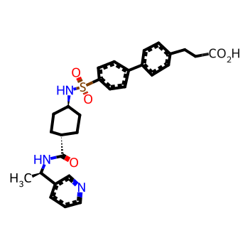 C[C@@H](NC(=O)[C@H]1CC[C@H](NS(=O)(=O)c2ccc(-c3ccc(CCC(=O)O)cc3)cc2)CC1)c1cccnc1